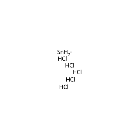 Cl.Cl.Cl.Cl.Cl.[SnH2]